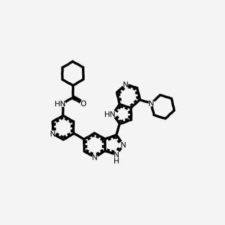 O=C(Nc1cncc(-c2cnc3[nH]nc(-c4cc5c(N6CCCCC6)cncc5[nH]4)c3c2)c1)C1CCCCC1